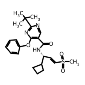 CC(C)(C)c1ncc(C(=O)N[C@H](/C=C/S(C)(=O)=O)C2CCC2)c(Oc2ccccc2)n1